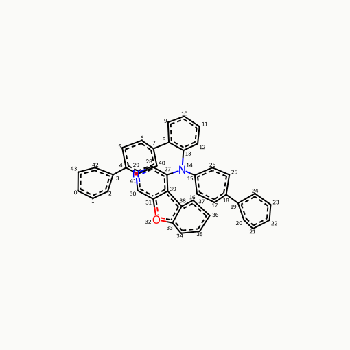 c1ccc(-c2ccc(-c3ccccc3N(c3ccc(-c4ccccc4)cc3)c3cncc4oc5ccccc5c34)cc2)cc1